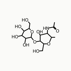 CC(=O)NC1C(C)OC(CO)C(OC2OC(CO)C(O)C(O)C2O)C1O